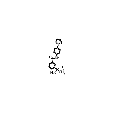 CC(C)(C)c1cccc(C(=O)Nc2ccc(-n3nccn3)cc2)c1